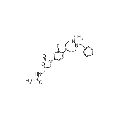 CC(=O)NC[C@H]1CN(c2ccc(N3CCN(C)N(Cc4ccccc4)CC3)c(F)c2)C(=O)O1